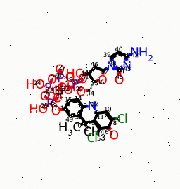 CC1(C)C2=C(Cl)C(=O)C(Cl)=CC2=Nc2ccc(OP(=O)(O)OP(=O)(O)OP(=O)(O)OP(=O)(O)OC[C@H]3OC(n4ccc(N)nc4=O)CC3O)cc21